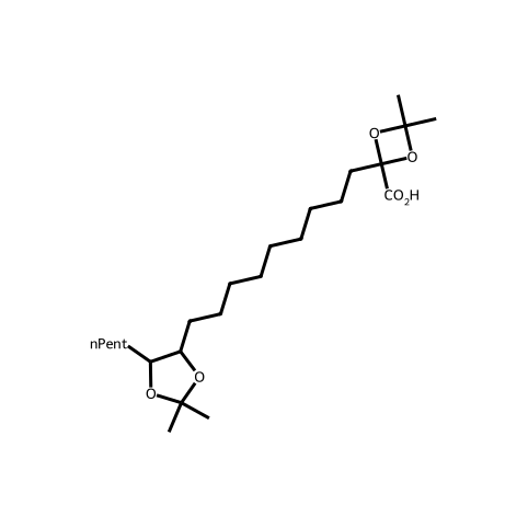 CCCCCC1OC(C)(C)OC1CCCCCCCCCC1(C(=O)O)OC(C)(C)O1